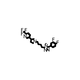 Cn1c(CCCCN2CCC(c3ccc(C(F)(F)F)nc3)C2)nnc1-c1ccc(F)c(F)c1